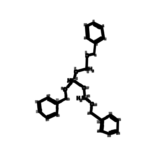 c1ccc(CO[SiH2]O[SiH](OCc2ccccc2)O[SiH2]OCc2ccccc2)cc1